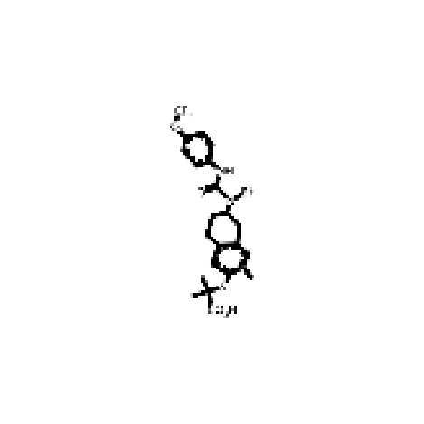 CCN(C(=O)Nc1ccc(OC(F)(F)F)cc1)C1CCc2cc(SC(C)(C)C(=O)O)c(C)cc2C1